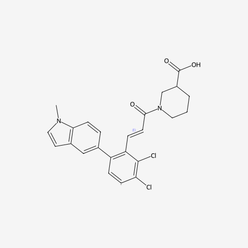 Cn1ccc2cc(-c3c[c]c(Cl)c(Cl)c3/C=C/C(=O)N3CCCC(C(=O)O)C3)ccc21